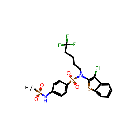 CS(=O)(=O)Nc1ccc(S(=O)(=O)N(CCCCC(F)(F)F)c2sc3ccccc3c2Cl)cc1